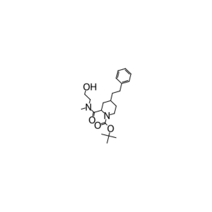 CN(CCO)C(=O)C1CC(CCc2ccccc2)CCN1C(=O)OC(C)(C)C